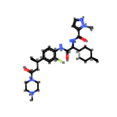 CCn1nccc1C(=O)N[C@H](C(=O)Nc1ccc([C@H](C)CC(=O)N2CCN(C)CC2)cc1F)[C@H]1CC[C@H](C)CC1